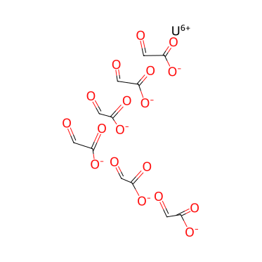 O=CC(=O)[O-].O=CC(=O)[O-].O=CC(=O)[O-].O=CC(=O)[O-].O=CC(=O)[O-].O=CC(=O)[O-].[U+6]